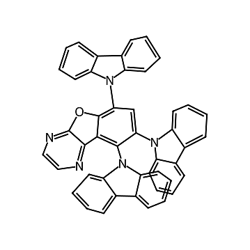 c1ccc2c(c1)c1ccccc1n2-c1cc(-n2c3ccccc3c3ccccc32)c2oc3nccnc3c2c1-n1c2ccccc2c2ccccc21